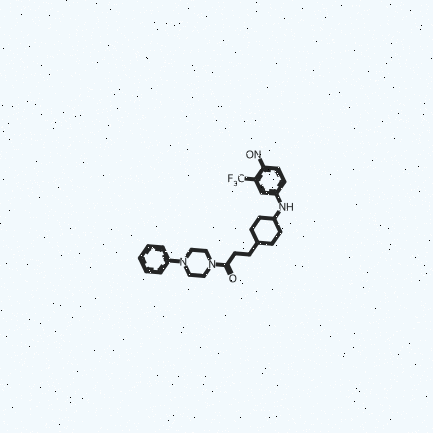 O=Nc1ccc(NC2CCC(CCC(=O)N3CCN(c4ccccc4)CC3)CC2)cc1C(F)(F)F